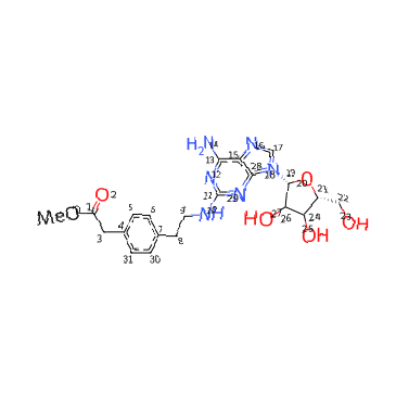 COC(=O)Cc1ccc(CCNc2nc(N)c3ncn([C@@H]4O[C@H](CO)C(O)C4O)c3n2)cc1